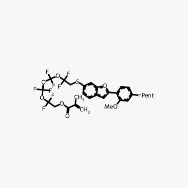 C=C(C)C(=O)OCC(F)(F)OC(F)(F)OC(F)(F)OC(F)(F)CSc1ccc2cc(-c3ccc(CCCCC)cc3OC)oc2c1